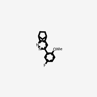 COc1ccc(F)cc1-c1cc2c(nn1)C1CCC2C1